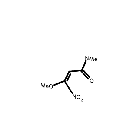 CNC(=O)C=C(OC)[N+](=O)[O-]